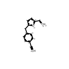 C#Cc1ccc(Cc2ccc(C=C)o2)cc1